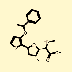 CNC(C(=O)O)[C@@H]1OC(c2sccc2OC(C)c2ccccc2)C[C@H]1C